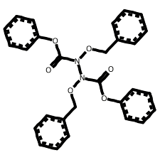 O=C(Oc1ccccc1)N(OCc1ccccc1)N(OCc1ccccc1)C(=O)Oc1ccccc1